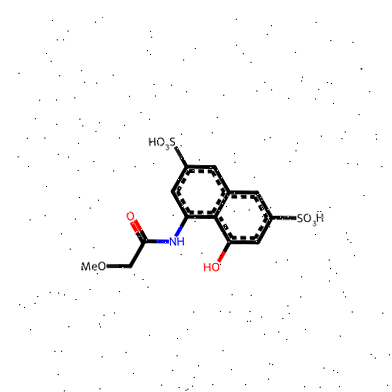 COCC(=O)Nc1cc(S(=O)(=O)O)cc2cc(S(=O)(=O)O)cc(O)c12